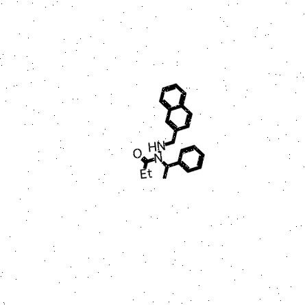 CCC(=O)N(NCc1ccc2ccccc2c1)C(C)c1ccccc1